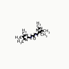 Cc1nc(C)c(C)c(/C=C/C(=O)/C=C/c2nc(C)c(C)c(C)n2)n1